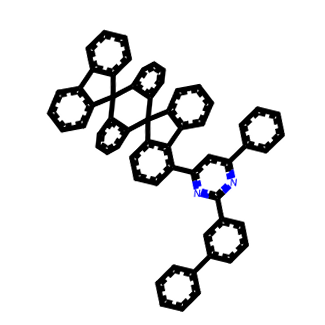 c1ccc(-c2cccc(-c3nc(-c4ccccc4)cc(-c4cccc5c4-c4ccccc4C54c5ccccc5C5(c6ccccc6-c6ccccc65)c5ccccc54)n3)c2)cc1